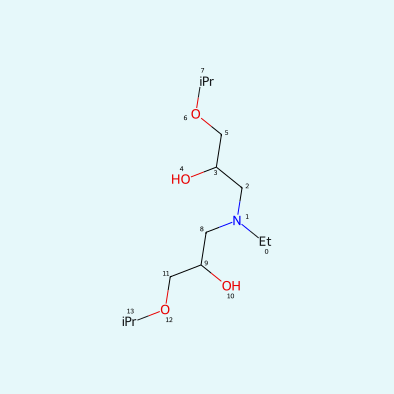 CCN(CC(O)COC(C)C)CC(O)COC(C)C